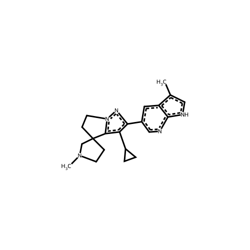 Cc1c[nH]c2ncc(-c3nn4c(c3C3CC3)C3(CCN(C)C3)CC4)cc12